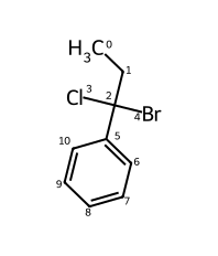 CCC(Cl)(Br)c1ccccc1